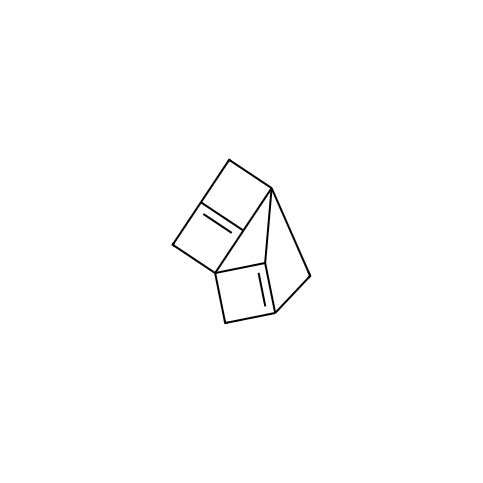 C1C2=C3C14CC1=C4C3(C2)C1